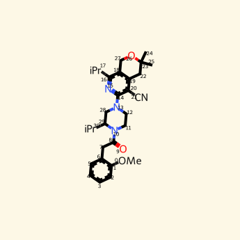 COc1ccccc1CC(=O)N1CCN(c2nc(C(C)C)c3c(c2C#N)CC(C)(C)OC3)CC1C(C)C